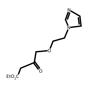 CCOC(=O)CC(=O)COCCn1ccnc1